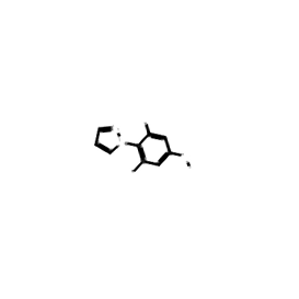 FC(F)(F)Sc1cc(Cl)c(-n2cccn2)c(Cl)c1